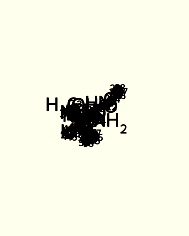 CC(C)(O)c1cnnn1[C@H]1C[C@@H](C(=O)NC(CCCCNC(=O)OCc2ccccc2)C(=O)C(N)=O)N(C(=O)[C@@H](CC2CCCCC2)NC(=O)c2cccc3ccccc23)C1